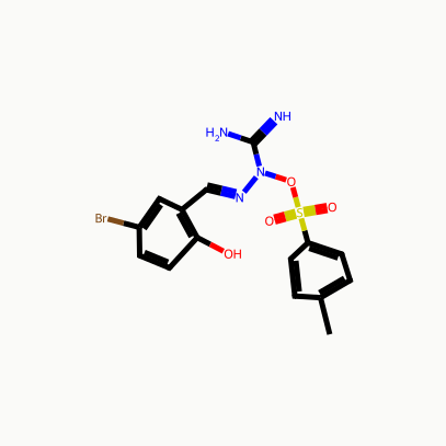 Cc1ccc(S(=O)(=O)ON(N=Cc2cc(Br)ccc2O)C(=N)N)cc1